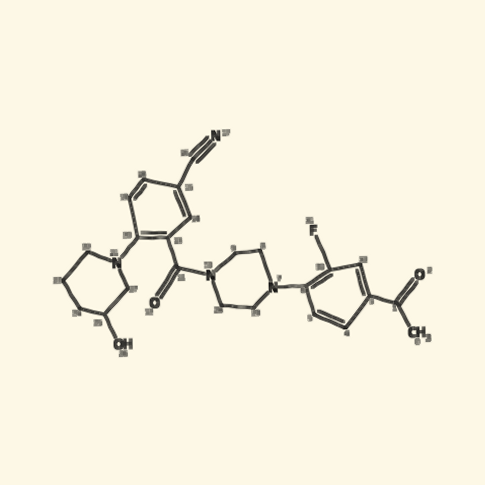 CC(=O)c1ccc(N2CCN(C(=O)c3cc(C#N)ccc3N3CCCC(O)C3)CC2)c(F)c1